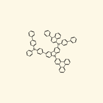 c1ccc(-c2ccc(N(c3ccccc3)c3ccc(-c4ccc5c(c4)c4cc(N(c6ccc(-c7ccccc7)cc6)c6ccc(-c7ccccc7)c7ccccc67)ccc4n5-c4ccc5c6ccccc6c6ccccc6c5c4)cc3)cc2)cc1